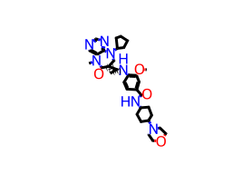 COc1cc(C(=O)NC2CCC(N3CCOCC3)CC2)ccc1N[C@@H]1C[C@]12CN(C1CCCC1)c1ncncc1N(C)C2=O